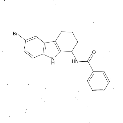 O=C(NC1CCCc2c1[nH]c1ccc(Br)cc21)c1ccccc1